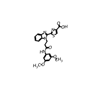 COc1cc(NC(=O)CCn2c(-c3nc(C(=O)O)cs3)nc3ccccc32)cc(OC)c1